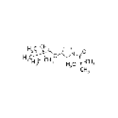 CC(C)(C)C(=O)N1CC[C@H](OC[Si](C)(C)C(C)(C)C)C1